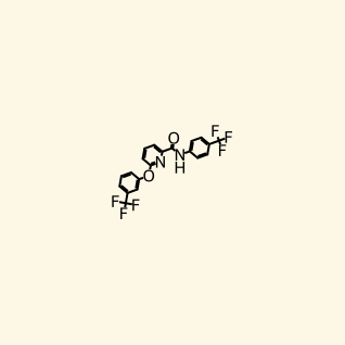 O=C(Nc1ccc(C(F)(F)F)cc1)c1cccc(Oc2cccc(C(F)(F)F)c2)n1